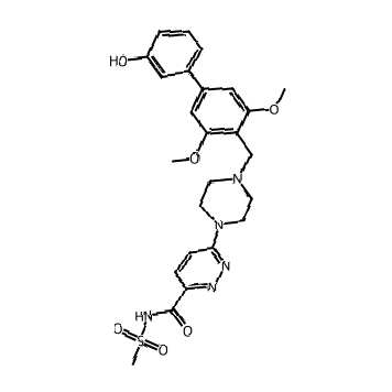 COc1cc(-c2cccc(O)c2)cc(OC)c1CN1CCN(c2ccc(C(=O)NS(C)(=O)=O)nn2)CC1